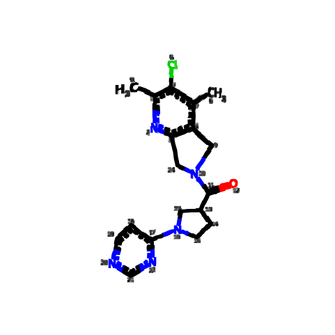 Cc1nc2c(c(C)c1Cl)CN(C(=O)C1CCN(c3ccncn3)C1)C2